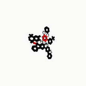 Cc1cc2c(cc1N1c3cc4c(cc3B3c5c(cc6c(c51)C(C)(C)c1ccccc1-6)-c1cc5c(cc1N3c1ccc(C(C)(C)C)cc1-c1ccccc1)sc1ccccc15)Oc1ccccc1O4)C(C)(C)CCC2(C)C